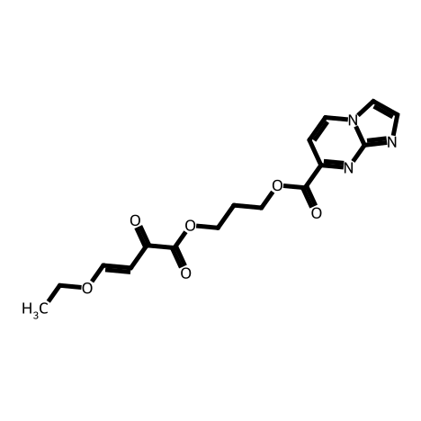 CCO/C=C/C(=O)C(=O)OCCCOC(=O)c1ccn2ccnc2n1